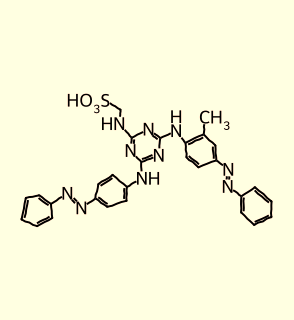 Cc1cc(N=Nc2ccccc2)ccc1Nc1nc(NCS(=O)(=O)O)nc(Nc2ccc(N=Nc3ccccc3)cc2)n1